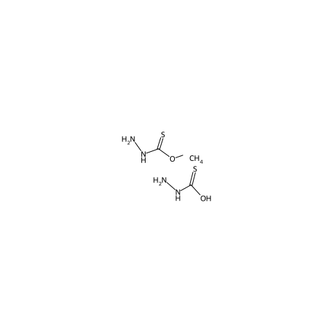 C.COC(=S)NN.NNC(O)=S